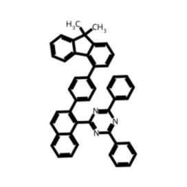 CC1(C)c2ccccc2-c2c(-c3ccc(-c4ccc5ccccc5c4-c4nc(-c5ccccc5)nc(-c5ccccc5)n4)cc3)cccc21